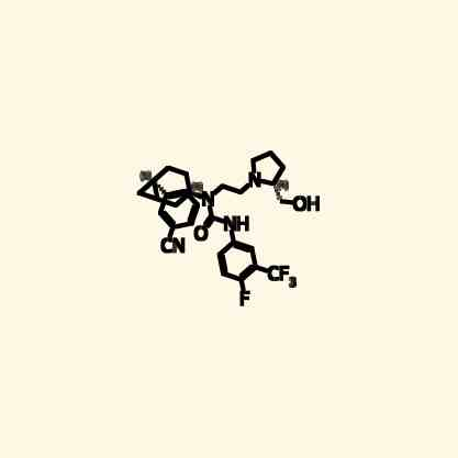 N#Cc1cccc([C@]23CC[C@@H](N(CCN4CCC[C@@H]4CO)C(=O)Nc4ccc(F)c(C(F)(F)F)c4)CC2C3)c1